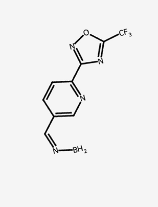 B/N=C\c1ccc(-c2noc(C(F)(F)F)n2)nc1